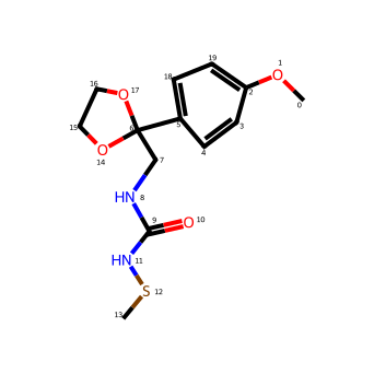 COc1ccc(C2(CNC(=O)NSC)OCCO2)cc1